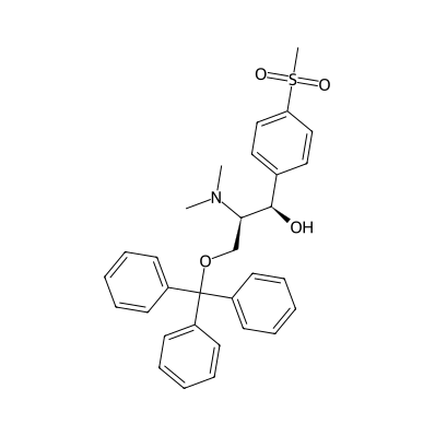 CN(C)[C@H](COC(c1ccccc1)(c1ccccc1)c1ccccc1)[C@H](O)c1ccc(S(C)(=O)=O)cc1